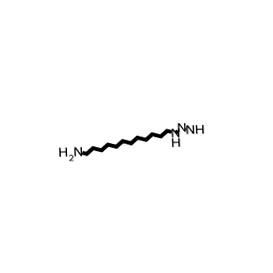 N=NNCCCCCCCCCCCCN